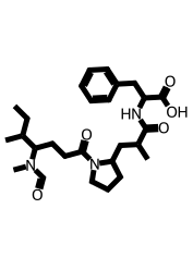 CCC(C)C(CCC(=O)N1CCCC1CC(C)C(=O)NC(Cc1ccccc1)C(=O)O)N(C)C=O